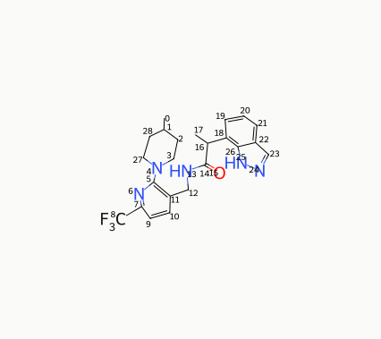 CC1CCN(c2nc(C(F)(F)F)ccc2CNC(=O)C(C)c2cccc3cn[nH]c23)CC1